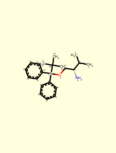 CC(C)[C@H](N)CO[Si](c1ccccc1)(c1ccccc1)C(C)(C)C